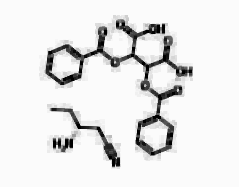 CC[C@@H](N)CC#N.O=C(OC(C(=O)O)C(OC(=O)c1ccccc1)C(=O)O)c1ccccc1